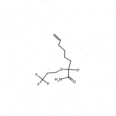 C=CCCCCC(F)(SCCC(F)(F)F)C(N)=O